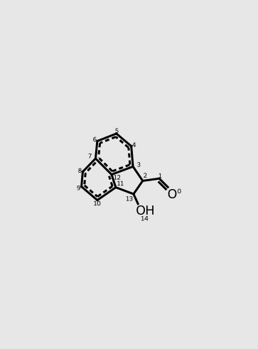 O=CC1c2cccc3cccc(c23)C1O